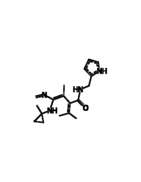 C=N/C(NC1(C)CC1)=C(\C)C(C(=O)NCc1ccc[nH]1)=C(C)C